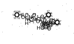 O=C(Nc1ccn([C@H]2CC(OC(=O)c3ccccc3)[C@@H](COP(=O)(O)OP(=O)(O)OP(=O)(O)OCc3ccccc3)O2)c(=O)n1)OCc1ccccc1